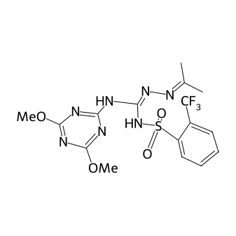 COc1nc(NC(=NN=C(C)C)NS(=O)(=O)c2ccccc2C(F)(F)F)nc(OC)n1